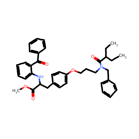 CCC(CC)C(=O)N(CCCOc1ccc(CC(Nc2ccccc2C(=O)c2ccccc2)C(=O)OC)cc1)Cc1ccccc1